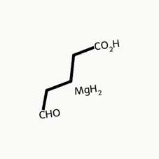 O=CCCCC(=O)O.[MgH2]